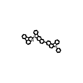 c1ccc(-n2c3ccccc3c3c4ccc(-c5ccc6cc7c(cc6c5)c5ccccc5n7-c5cc6c7c(cccc7n5)-c5ccccc5-6)cc4ccc32)cc1